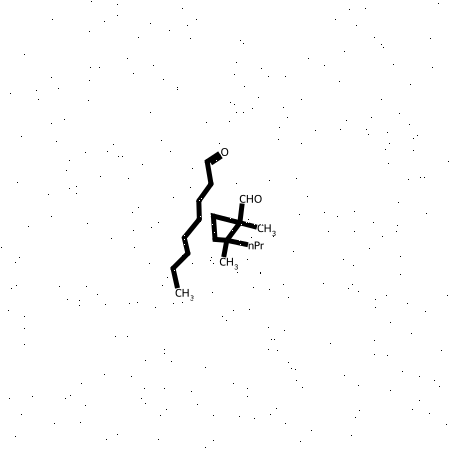 CCCC1(C)CCC1(C)C=O.CCCCCCCC=O